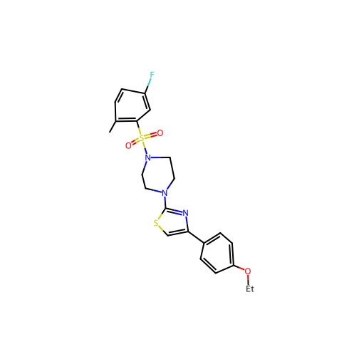 CCOc1ccc(-c2csc(N3CCN(S(=O)(=O)c4cc(F)ccc4C)CC3)n2)cc1